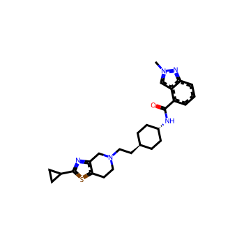 Cn1cc2c(C(=O)N[C@H]3CC[C@H](CCN4CCc5sc(C6CC6)nc5C4)CC3)cccc2n1